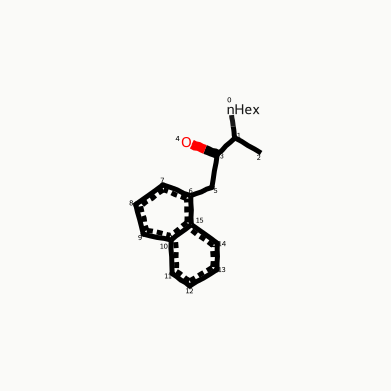 CCCCCCC(C)C(=O)Cc1cccc2ccccc12